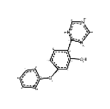 Oc1cc(Oc2ccccc2)ccc1-c1ncncn1